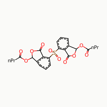 CCCC(=O)OC1OC(=O)c2c1cccc2S(=O)(=O)c1cccc2c1C(=O)OC2OC(=O)CCC